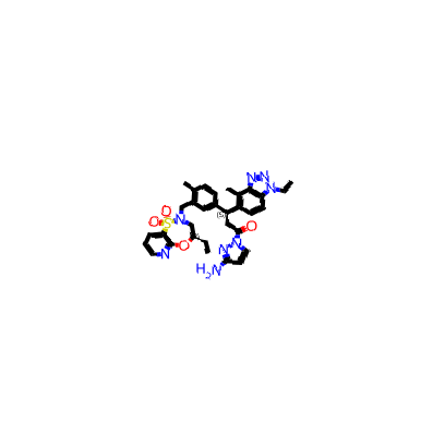 CC[C@@H]1CN(Cc2cc([C@H](CC(=O)n3ccc(N)n3)c3ccc4c(nnn4CC)c3C)ccc2C)S(=O)(=O)c2cccnc2O1